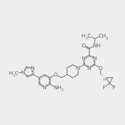 CC(C)NC(=O)c1nc(OC[C@@H]2CC2(F)F)nc(N2CCC(COc3cc(-c4cn(C)cn4)cnc3N)CC2)n1